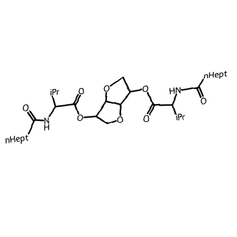 CCCCCCCC(=O)NC(C(=O)OC1COC2C(OC(=O)C(NC(=O)CCCCCCC)C(C)C)COC12)C(C)C